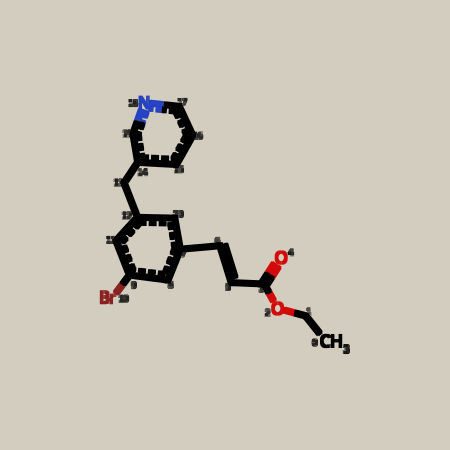 CCOC(=O)C=Cc1cc(Br)cc(Cc2cccnc2)c1